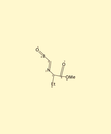 CCC(/N=C/B=O)C(=O)OC